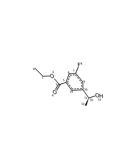 CCOC(=O)c1cc(F)cc([C@H](C)O)c1